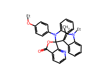 CCOc1ccc(N(c2ccccc2)C2(c3c(C)n(CC)c4ccccc34)OC(=O)c3cccnc32)cc1